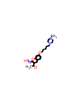 CC(=O)c1cc2ccc(OCCCCCN3CCN(C)CC3)cc2oc1=NO